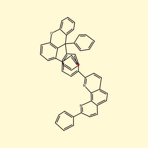 c1ccc(-c2ccc3ccc4ccc(-c5ccc(-c6cccc7c6C(c6ccccc6)(c6ccccc6)c6ccccc6O7)cc5)nc4c3n2)cc1